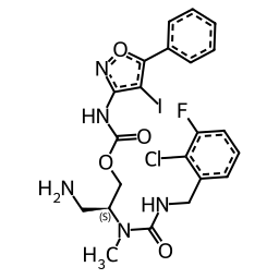 CN(C(=O)NCc1cccc(F)c1Cl)[C@@H](CN)COC(=O)Nc1noc(-c2ccccc2)c1I